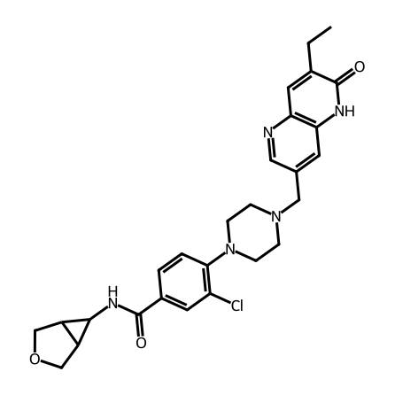 CCc1cc2ncc(CN3CCN(c4ccc(C(=O)NC5C6COCC65)cc4Cl)CC3)cc2[nH]c1=O